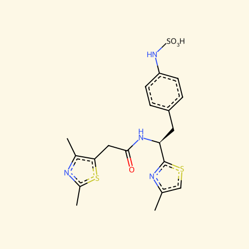 Cc1csc([C@H](Cc2ccc(NS(=O)(=O)O)cc2)NC(=O)Cc2sc(C)nc2C)n1